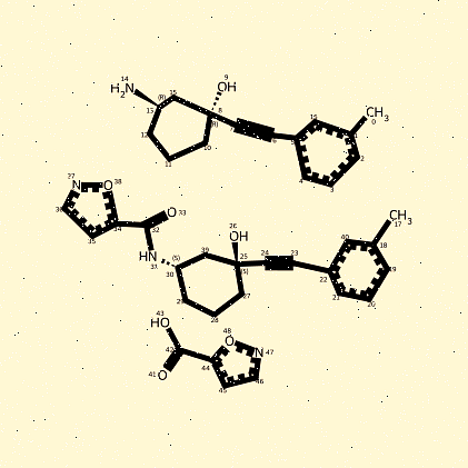 Cc1cccc(C#C[C@@]2(O)CCC[C@@H](N)C2)c1.Cc1cccc(C#C[C@]2(O)CCC[C@H](NC(=O)c3ccno3)C2)c1.O=C(O)c1ccno1